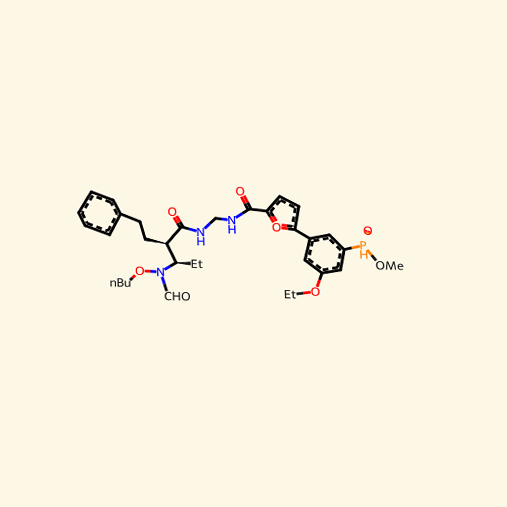 CCCCON(C=O)[C@H](CC)[C@@H](CCc1ccccc1)C(=O)NCNC(=O)c1ccc(-c2cc(OCC)cc([PH](=O)OC)c2)o1